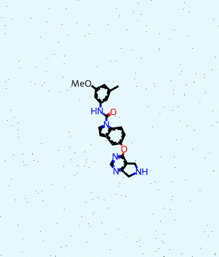 COc1cc(C)cc(NC(=O)n2ccc3cc(Oc4ncnc5c4CNC5)ccc32)c1